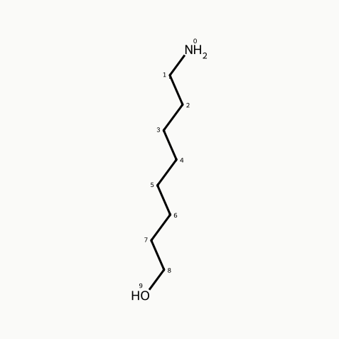 N[CH]CCCCCCCO